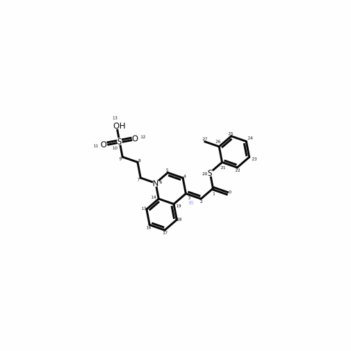 C=C(/C=C1\C=CN(CCCS(=O)(=O)O)c2ccccc21)Sc1ccccc1C